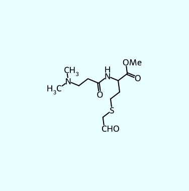 COC(=O)C(CCSCC=O)NC(=O)CCN(C)C